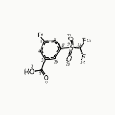 O=C(O)c1cc(F)cc(S(=O)(=O)C(F)F)c1